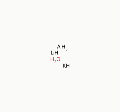 O.[AlH3].[KH].[LiH]